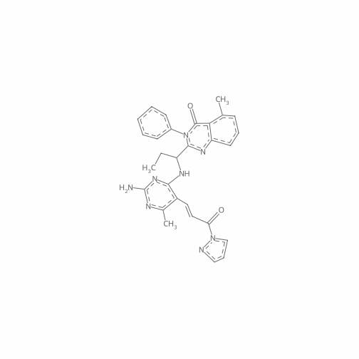 CCC(Nc1nc(N)nc(C)c1C=CC(=O)n1cccn1)c1nc2cccc(C)c2c(=O)n1-c1ccccc1